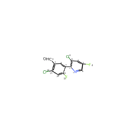 O=Cc1cc(-c2ncc(F)cc2Cl)c(F)cc1Cl